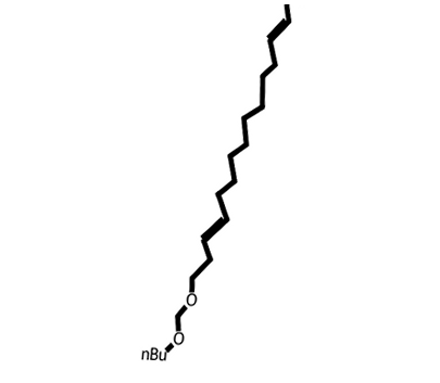 CCCC/C=C/CCCCCCCC/C=C/CCOCOCCCC